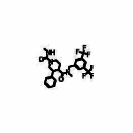 CNC(=O)N1CCC(C(=O)N(C)Cc2cc(C(F)(F)F)cc(C(F)(F)F)c2)C(c2ccccc2)C1